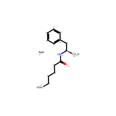 CCCCCCCCCCCCCCC(=O)N[C@@H](Cc1ccccc1)C(=O)O.[NaH]